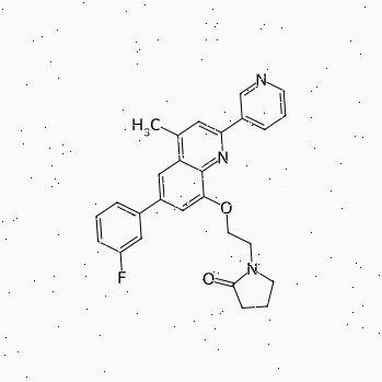 Cc1cc(-c2cccnc2)nc2c(OCCN3CCCC3=O)cc(-c3cccc(F)c3)cc12